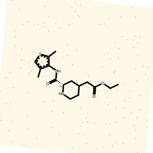 CCOC(=O)CC1CCN[C@H](C(=O)Nc2c(C)csc2C)C1